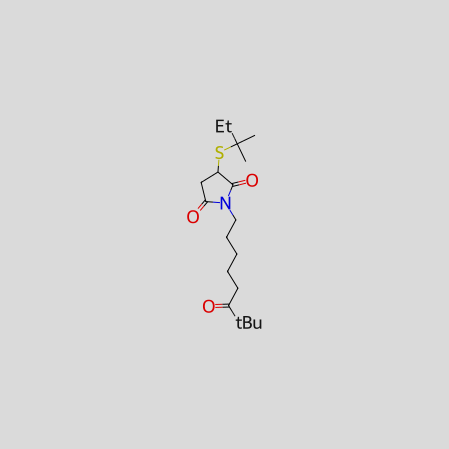 CCC(C)(C)SC1CC(=O)N(CCCCCC(=O)C(C)(C)C)C1=O